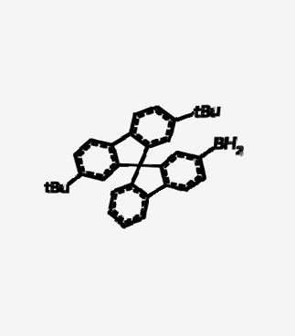 Bc1ccc2c(c1)C1(c3ccccc3-2)c2cc(C(C)(C)C)ccc2-c2ccc(C(C)(C)C)cc21